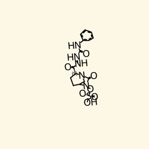 O=C(NNC(=O)[C@@H]1CCC2CN1C(=O)N2OS(=O)(=O)O)Nc1ccccc1